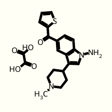 CN1CCC(c2cn(N)c3ccc(C(=O)c4cccs4)cc23)CC1.O=C(O)C(=O)O